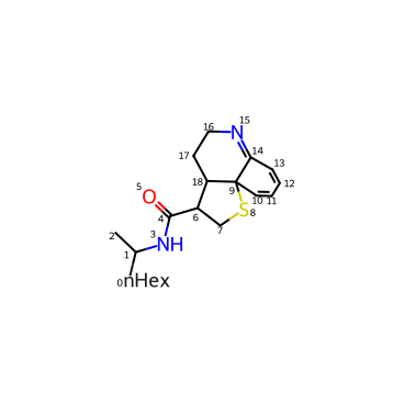 CCCCCCC(C)NC(=O)C1CSC23C=CC=CC2=NCCC13